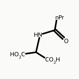 CCCC(=O)NC(C(=O)O)C(=O)O